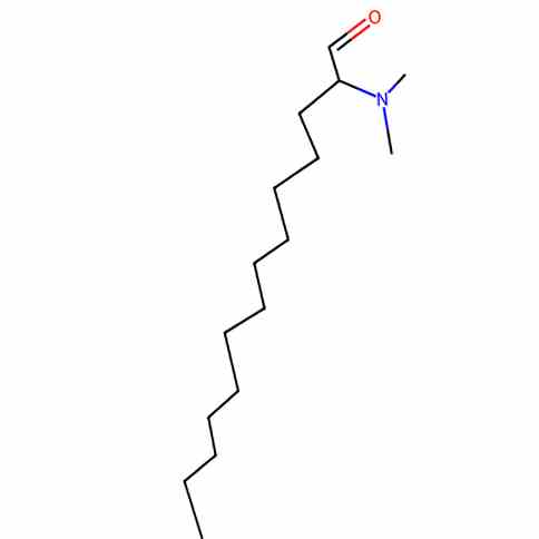 CCCCCCCCCCCCC(C=O)N(C)C